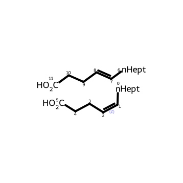 CCCCCCC/C=C\CCC(=O)O.CCCCCCCC=CCCC(=O)O